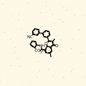 Cc1cc(C(C)Nc2ccccc2C(=O)O)c2oc(-c3cccc(-c4cccc(C#N)c4)c3)c(C)c(=O)c2c1